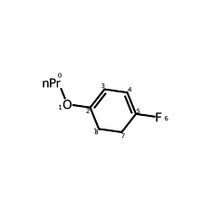 CCCOC1=CC=C(F)C[CH]1